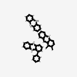 Cc1ccc2nc3ccccc3cc2c1C.c1ccc(-c2cccc3nc4ccccc4nc23)cc1.c1ccc2c(c1)Nc1ccccc1O2